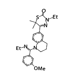 CCN=C(c1cccc(OC)c1)N1CCCc2cc(C3=NN(CC)C(=O)SC3(C)C)ccc21